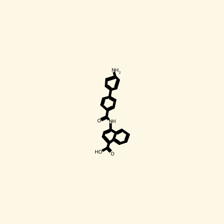 Nc1ccc(-c2ccc(C(=O)Nc3ccc(C(=O)O)c4ccccc34)cc2)cc1